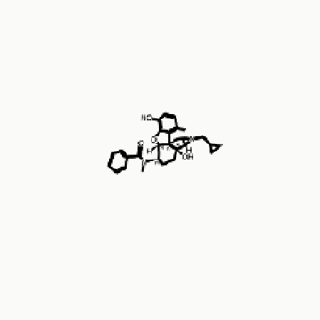 Cc1ccc(O)c2c1[C@]13CC4[C@@H](N4CC4CC4)[C@]1(O)CC[C@@H](N(C)C(=O)c1ccccc1)[C@@H]3O2